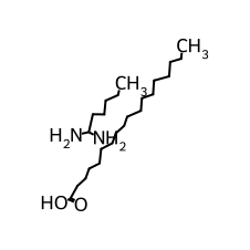 CCCCCC(N)N.CCCCCCCCCCCCCCCCCC(=O)O